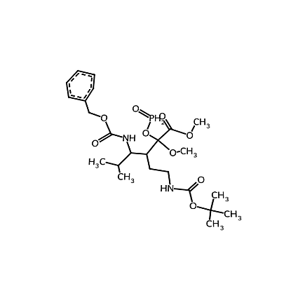 COC(=O)C(OC)(O[PH2]=O)C(CCNC(=O)OC(C)(C)C)C(NC(=O)OCc1ccccc1)C(C)C